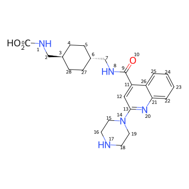 O=C(O)NC[C@H]1CC[C@H](CNC(=O)c2cc(N3CCNCC3)nc3ccccc23)CC1